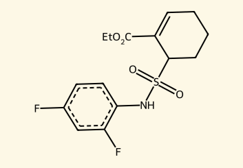 CCOC(=O)C1=CCCCC1S(=O)(=O)Nc1ccc(F)cc1F